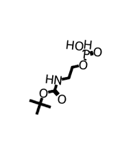 CC(C)(C)OC(=O)NCCO[PH](=O)O